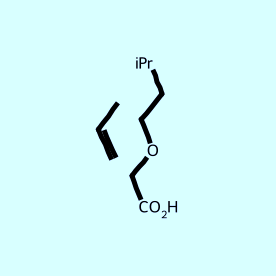 C=CC.CC(C)CCOCC(=O)O